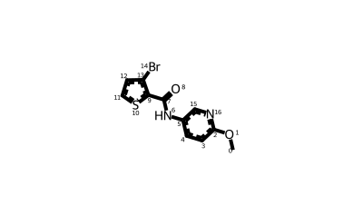 COc1ccc(NC(=O)c2sccc2Br)cn1